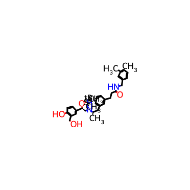 Cc1ccc(CNC(=O)CCc2cccc(C[C@@H](C)NC[C@H](O[Si](C)(C)C(C)(C)C)c3ccc(O)c(CO)c3)c2)cc1C